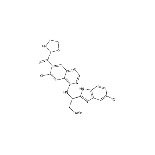 COCC(Nc1ncnc2cc(C(=O)C3NCCS3)c(Cl)cc12)c1nc2cc(Cl)ccc2[nH]1